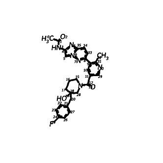 CC(=O)Nc1cn2nc(-c3cc(C(=O)N4CCCC(O)(Cc5ccc(F)cc5)C4)cnc3C)ccc2n1